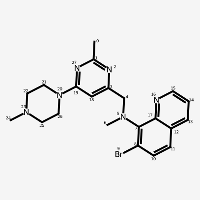 Cc1nc(CN(C)c2c(Br)ccc3cccnc23)cc(N2CCN(C)CC2)n1